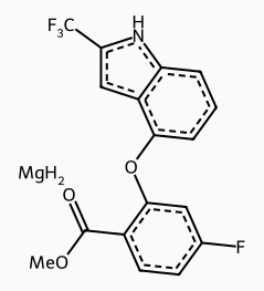 COC(=O)c1ccc(F)cc1Oc1cccc2[nH]c(C(F)(F)F)cc12.[MgH2]